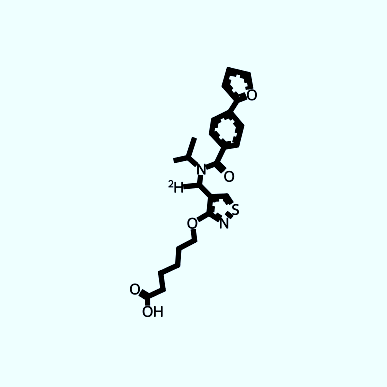 [2H]C(c1csnc1OCCCCCC(=O)O)N(C(=O)c1ccc(-c2ccco2)cc1)C(C)C